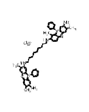 Cc1cc2nc3cc(C)c(NCCCCCCCCCNc4ccc5nc6cc(C)c(N)cc6[n+](-c6ccccc6)c5c4C)cc3[n+](-c3ccccc3)c2cc1N.[Cl-].[Cl-]